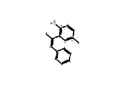 CC(=Cc1ccccc1)c1cc(C)ccc1O